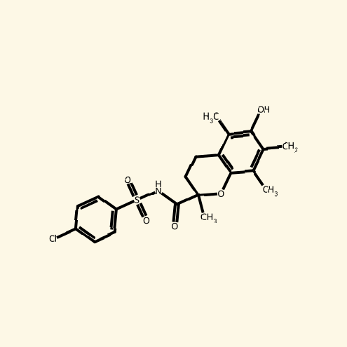 Cc1c(C)c2c(c(C)c1O)CCC(C)(C(=O)NS(=O)(=O)c1ccc(Cl)cc1)O2